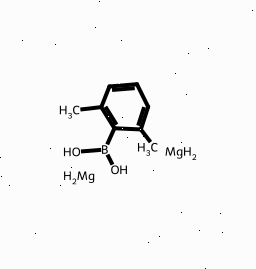 Cc1cccc(C)c1B(O)O.[MgH2].[MgH2]